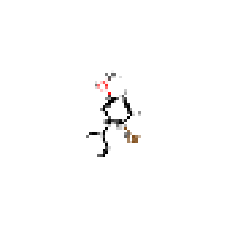 C=C[C](C)c1cc(OCC)ccc1Br